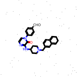 O=Cc1ccc(-n2ccnc(NC3CCN(Cc4ccc5c(c4)=CCCC=5)CC3)c2=O)cc1